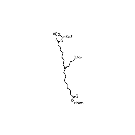 CCCCCCCCCOC(=O)CCCCCCCN(CCCCCCCC(=O)OC(CCCCCCCC)CCCCCCCC)CCCOC